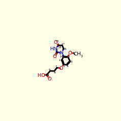 COc1ccc(OCCCC(=O)O)cc1N1CCC(=O)NC1=O